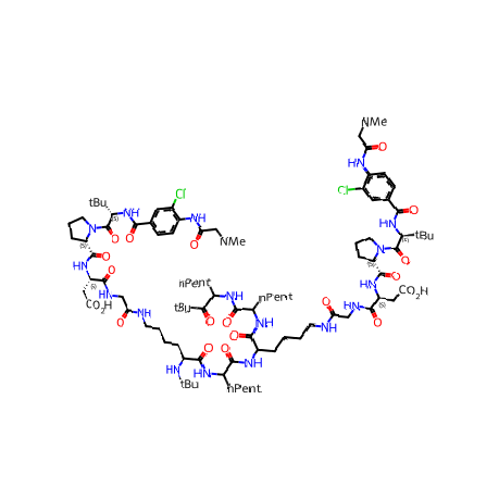 CCCCCC(NC(=O)C(CCCCNC(=O)CNC(=O)[C@H](CC(=O)O)NC(=O)[C@@H]1CCCN1C(=O)[C@@H](NC(=O)c1ccc(NC(=O)CNC)c(Cl)c1)C(C)(C)C)NC(C)(C)C)C(=O)NC(CCCCNC(=O)CNC(=O)[C@H](CC(=O)O)NC(=O)[C@@H]1CCCN1C(=O)[C@@H](NC(=O)c1ccc(NC(=O)CNC)c(Cl)c1)C(C)(C)C)C(=O)NC(CCCCC)C(=O)NC(CCCCC)C(=O)C(C)(C)C